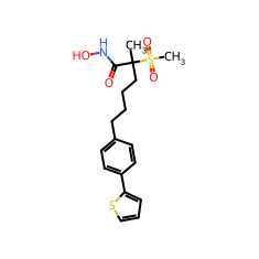 CC(CCCCc1ccc(-c2cccs2)cc1)(C(=O)NO)S(C)(=O)=O